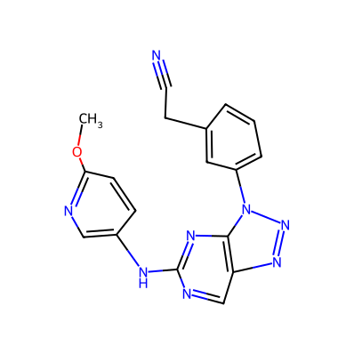 COc1ccc(Nc2ncc3nnn(-c4cccc(CC#N)c4)c3n2)cn1